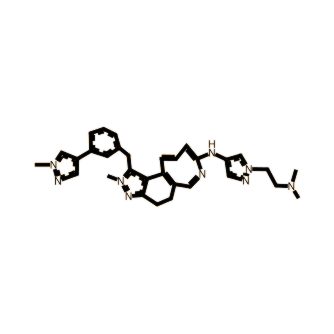 CN(C)CCn1cc(NC2=C/C=C/C3=C(/C=N\2)CCc2nn(C)c(Cc4cccc(-c5cnn(C)c5)c4)c23)cn1